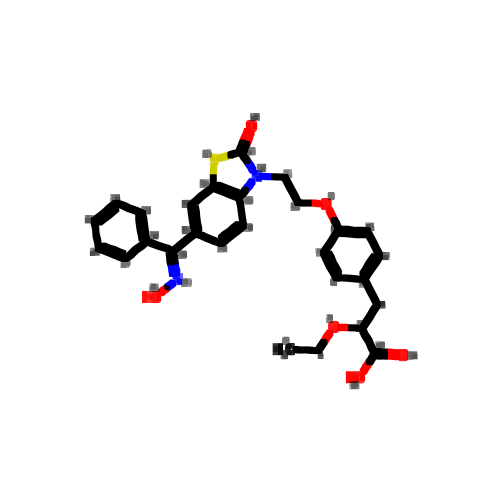 CCOC(Cc1ccc(OCCn2c(=O)sc3cc(/C(=N/O)c4ccccc4)ccc32)cc1)C(=O)O